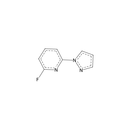 Fc1cccc(-n2cccn2)n1